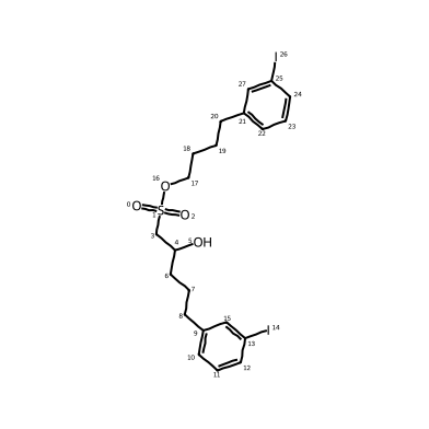 O=S(=O)(CC(O)CCCc1cccc(I)c1)OCCCCc1cccc(I)c1